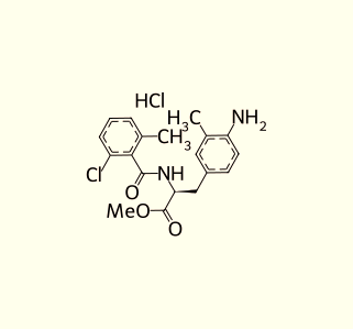 COC(=O)[C@H](Cc1ccc(N)c(C)c1)NC(=O)c1c(C)cccc1Cl.Cl